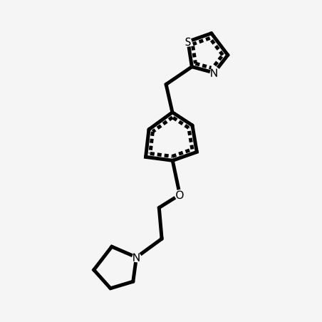 c1csc(Cc2ccc(OCCN3CCCC3)cc2)n1